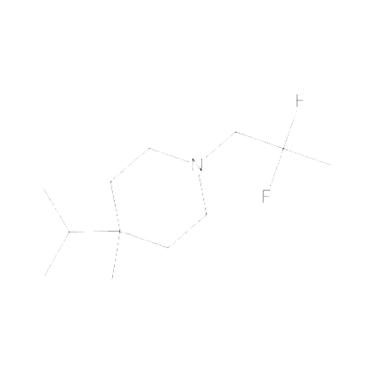 CC(C)C1(C)CCN(CC(C)(F)F)CC1